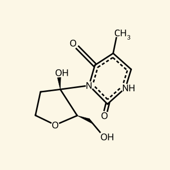 Cc1c[nH]c(=O)n([C@@]2(O)CCO[C@@H]2CO)c1=O